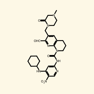 CN1CCN(Cc2cc3c(nc2C=O)N(C(=O)Nc2cc(NC4CCCCC4)c([N+](=O)[O-])cn2)CCC3)C(=O)C1